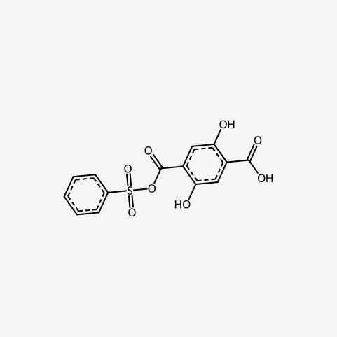 O=C(O)c1cc(O)c(C(=O)OS(=O)(=O)c2ccccc2)cc1O